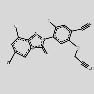 C#CCOc1cc(-n2nc3c(Cl)cc(Cl)cn3c2=O)c(F)cc1C#N